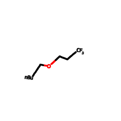 CCCCCOCCC(F)(F)F